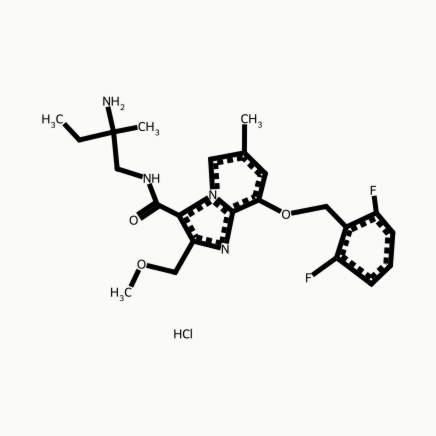 CCC(C)(N)CNC(=O)c1c(COC)nc2c(OCc3c(F)cccc3F)cc(C)cn12.Cl